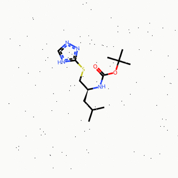 CC(C)C[C@@H](CSc1nnc[nH]1)NC(=O)OC(C)(C)C